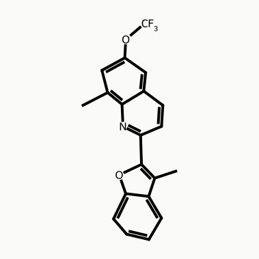 Cc1c(-c2ccc3cc(OC(F)(F)F)cc(C)c3n2)oc2ccccc12